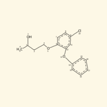 CC(O)CCOc1ccc(Cl)cc1Oc1ccccc1